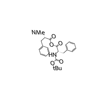 CN[C@@H](Cc1ccccc1)C(=O)OC(=O)[C@H](Cc1ccccc1)NC(=O)OC(C)(C)C